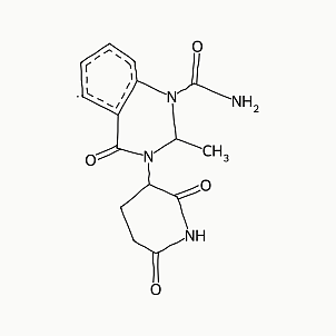 CC1N(C(N)=O)c2ccc[c]c2C(=O)N1C1CCC(=O)NC1=O